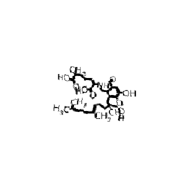 CC(C)=CCC/C(C)=C/CC[C@]1(C)Cc2c(CNC(CCCC(C)C(=O)O)C(=O)O)c(C=O)cc(O)c2O[C@@H]1O